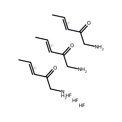 C/C=C/C(=O)CN.C/C=C/C(=O)CN.C/C=C/C(=O)CN.F.F.F